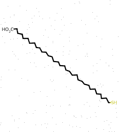 O=C(O)CCCCCCCCCCCCCCCCCCCCCCCCCCCCCCCCS